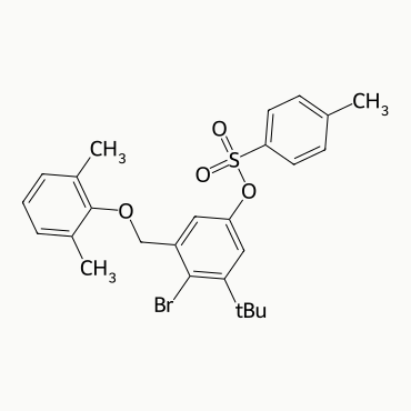 Cc1ccc(S(=O)(=O)Oc2cc(COc3c(C)cccc3C)c(Br)c(C(C)(C)C)c2)cc1